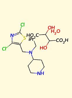 CC(C)CN(Cc1sc(Cl)nc1Cl)C1CCNCC1.O.O=C(O)C(O)C(O)C(=O)O